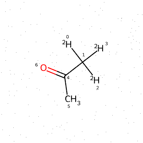 [2H]C([2H])([2H])C(C)=O